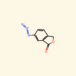 [N-]=[N+]=Nc1ccc2c(c1)C(=O)OC2